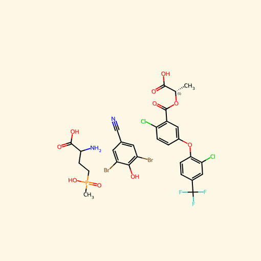 CP(=O)(O)CCC(N)C(=O)O.C[C@H](OC(=O)c1cc(Oc2ccc(C(F)(F)F)cc2Cl)ccc1Cl)C(=O)O.N#Cc1cc(Br)c(O)c(Br)c1